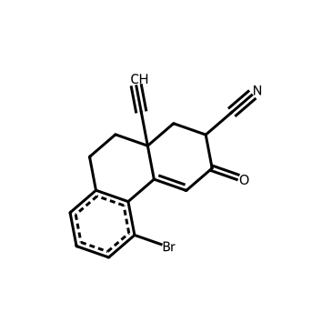 C#CC12CCc3cccc(Br)c3C1=CC(=O)C(C#N)C2